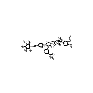 [2H]c1c([2H])c([2H])c(C#Cc2ccc([C@@H]3S[C@H](CC(=O)NC([2H])([2H])C([2H])([2H])c4ccc(OC)c(OCC)c4)C(=O)N3c3cccc(C(N)=O)c3)cc2)c([2H])c1[2H]